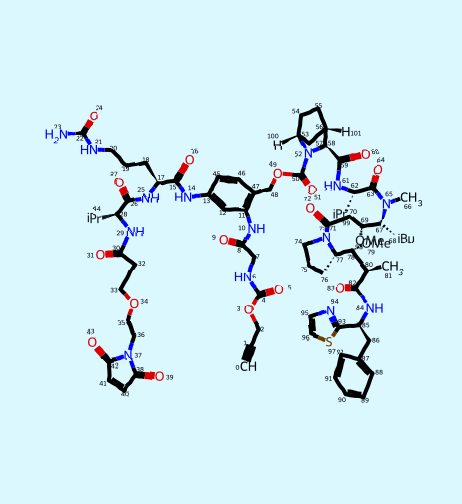 C#CCOC(=O)NCC(=O)Nc1cc(NC(=O)[C@H](CCCNC(N)=O)NC(=O)[C@@H](NC(=O)CCOCCN2C(=O)C=CC2=O)C(C)C)ccc1COC(=O)N1[C@@H]2CC[C@@H](C2)[C@H]1C(=O)N[C@H](C(=O)N(C)[C@@H]([C@@H](C)CC)[C@@H](CC(=O)N1CCC[C@H]1[C@H](OC)[C@@H](C)C(=O)N[C@@H](Cc1ccccc1)c1nccs1)OC)C(C)C